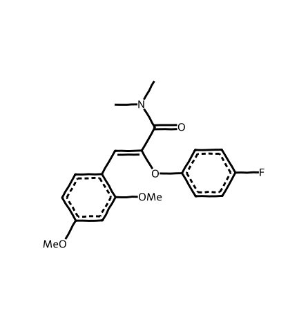 COc1ccc(C=C(Oc2ccc(F)cc2)C(=O)N(C)C)c(OC)c1